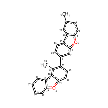 Cc1ccc2oc3cc(-c4ccc5oc6ccccc6c5c4C)ccc3c2c1